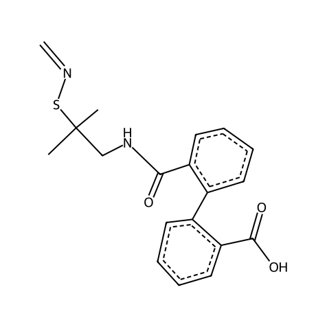 C=NSC(C)(C)CNC(=O)c1ccccc1-c1ccccc1C(=O)O